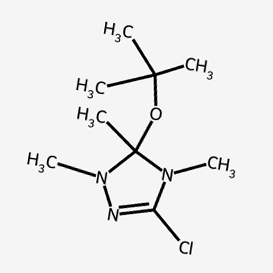 CN1N=C(Cl)N(C)C1(C)OC(C)(C)C